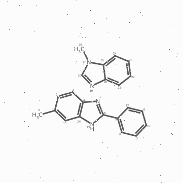 Cc1ccc2nc(-c3ccccc3)[nH]c2c1.Cn1cnc2ccccc21